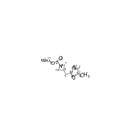 Cc1cnc(CC2CN(C(=O)OC(C)(C)C)C2)o1